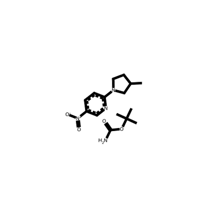 CC(C)(C)OC(N)=O.CC1CCN(c2ccc([N+](=O)[O-])cn2)C1